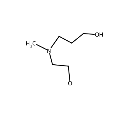 CN(CC[O])CCCO